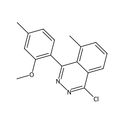 COc1cc(C)ccc1-c1nnc(Cl)c2cccc(C)c12